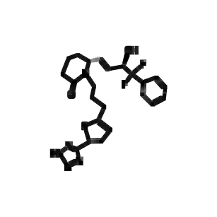 O=C1CCC[C@H](C=C[C@@H](O)C(F)(F)c2ccccc2)N1CCCc1ccc(-c2nn[nH]n2)s1